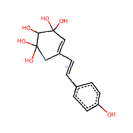 Oc1ccc(/C=C/C2=CC(O)(O)C(O)C(O)(O)C2)cc1